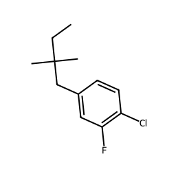 CCC(C)(C)Cc1ccc(Cl)c(F)c1